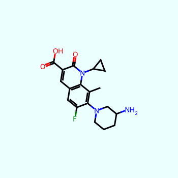 Cc1c(N2CCCC(N)C2)c(F)cc2cc(C(=O)O)c(=O)n(C3CC3)c12